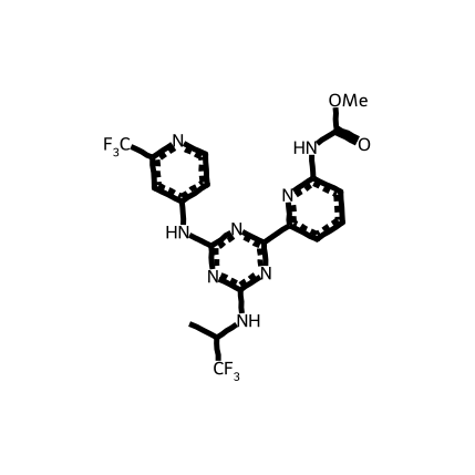 COC(=O)Nc1cccc(-c2nc(Nc3ccnc(C(F)(F)F)c3)nc(NC(C)C(F)(F)F)n2)n1